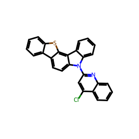 Clc1cc(-n2c3ccccc3c3c4sc5ccccc5c4ccc32)nc2ccccc12